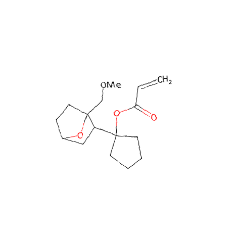 C=CC(=O)OC1(C2CC3CCC2(COC)O3)CCCC1